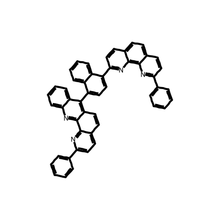 c1ccc(-c2ccc3ccc4ccc(-c5ccc(-c6c7ccccc7nc7c6ccc6ccc(-c8ccccc8)nc67)c6ccccc56)nc4c3n2)cc1